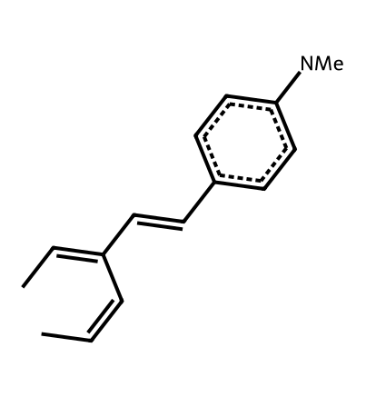 C\C=C/C(/C=C/c1ccc(NC)cc1)=C\C